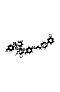 COC(=O)[C@H](Cc1ccc(OCCCN2CCN(c3cccc(Cl)c3)CC2)cc1)NC(=O)[C@@H]1CCCN1S(=O)(=O)c1ccc(C)cc1